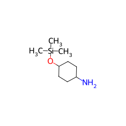 C[Si](C)(C)OC1CCC(N)CC1